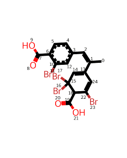 CC(=Cc1ccc(C(=O)O)c(Br)c1)C1=CC(Br)(Br)C(C(=O)O)C(Br)=C1